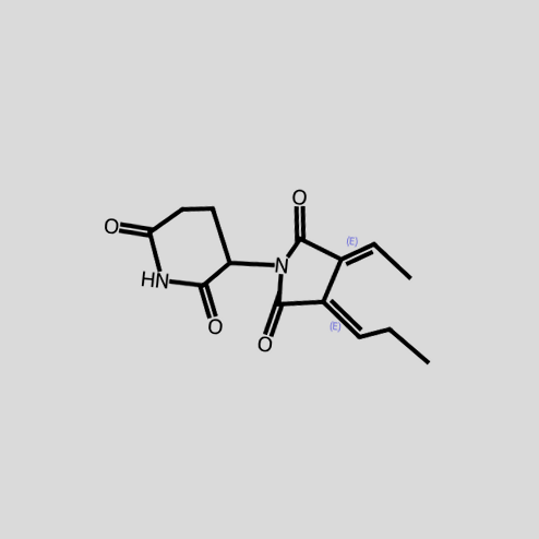 C/C=C1/C(=O)N(C2CCC(=O)NC2=O)C(=O)/C1=C/CC